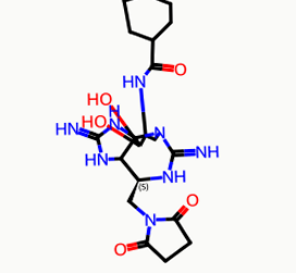 N=C1NC2[C@H](CN3C(=O)CCC3=O)NC(=N)N3CC(NC(=O)C4CCCCC4)C(O)(O)C23N1